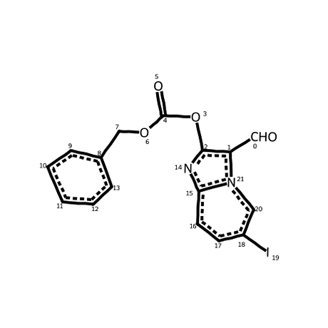 O=Cc1c(OC(=O)OCc2ccccc2)nc2ccc(I)cn12